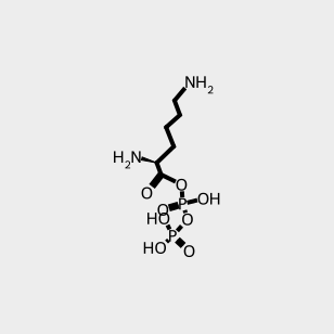 NCCCC[C@H](N)C(=O)OP(=O)(O)OP(=O)(O)O